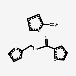 O=C(NCc1ccco1)c1ccco1.O=C(O)c1ccco1